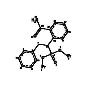 CC(C)OP(=O)(OC(C)C)C(Cc1ccccc1)c1ccccc1C(N)=O